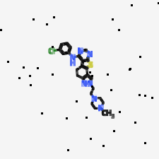 CN1CCN(CCn2cc3c(n2)CCc2c-3sc3ncnc(Nc4cccc(Cl)c4)c23)CC1